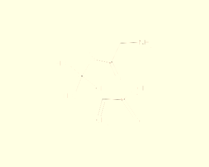 C=CC(=O)O.CC(C)(C)OC(=O)CN